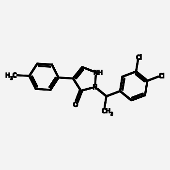 Cc1ccc(-c2c[nH]n(C(C)c3ccc(Cl)c(Cl)c3)c2=O)cc1